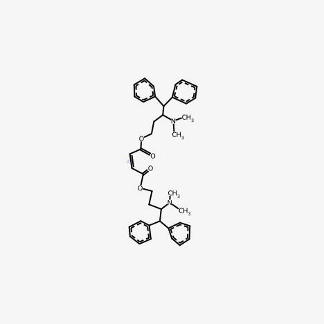 CN(C)C(CCOC(=O)/C=C\C(=O)OCCC(C(c1ccccc1)c1ccccc1)N(C)C)C(c1ccccc1)c1ccccc1